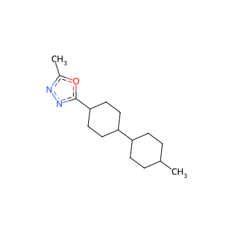 Cc1nnc(C2CCC(C3CCC(C)CC3)CC2)o1